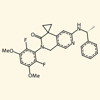 COc1cc(OC)c(F)c(N2Cc3cnc(N[C@H](C)c4ccccc4)cc3C3(CC3)C2=O)c1F